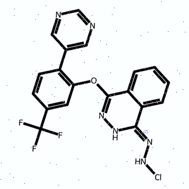 FC(F)(F)c1ccc(-c2cncnc2)c(Oc2n[nH]/c(=N\NCl)c3ccccc23)c1